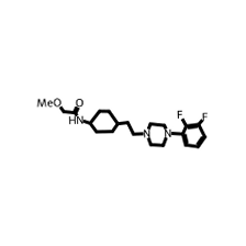 COCC(=O)NC1CCC(CCN2CCN(c3cccc(F)c3F)CC2)CC1